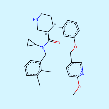 COc1ccc(COc2cccc([C@H]3CCNC[C@@H]3C(=O)N(Cc3cccc(C)c3C)C3CC3)c2)cn1